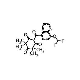 CC1(C)C(=O)C(C(=O)c2ccc(OC(F)F)c3ncccc23)C(=O)C(C)(C)C1=O